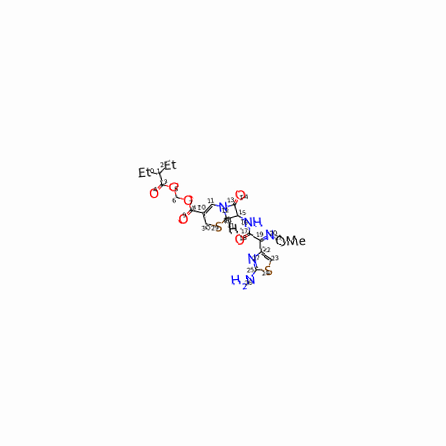 CCC(CC)C(=O)OCOC(=O)C1=CN2C(=O)C(NC(=O)C(=NOC)c3csc(N)n3)[C@H]2SC1